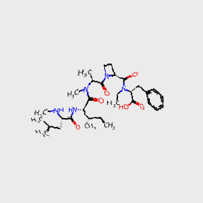 CC[C@H](C)[C@H](NC(=O)[C@H](CC(C)C)NC)C(=O)N(C)[C@@H](C)C(=O)N1CC[C@H]1C(=O)N(CC)[C@@H](Cc1ccccc1)C(=O)O